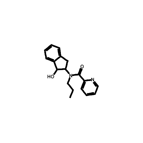 CCCN(C(=O)c1ccccn1)C1Cc2ccccc2C1O